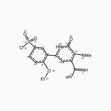 CCCC(=N)c1nc(-c2cc(S(=O)(=O)Cl)ccc2OCC)[nH]c(=O)c1NC